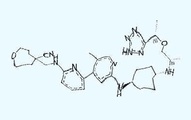 Cc1cnc(N[C@H]2CC[C@H](N[C@@H](C)CO[C@@H](C)c3nn[nH]n3)CC2)cc1-c1cccc(NCC2(C#N)CCOCC2)n1